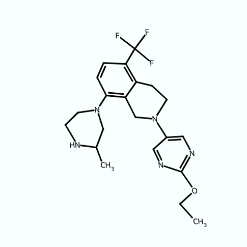 CCOc1ncc(N2CCc3c(C(F)(F)F)ccc(N4CCNC(C)C4)c3C2)cn1